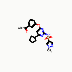 CNC(=O)c1cccc(Oc2cc(C3CCCC3)nc(NS(=O)(=O)c3cnn(C)c3)n2)c1